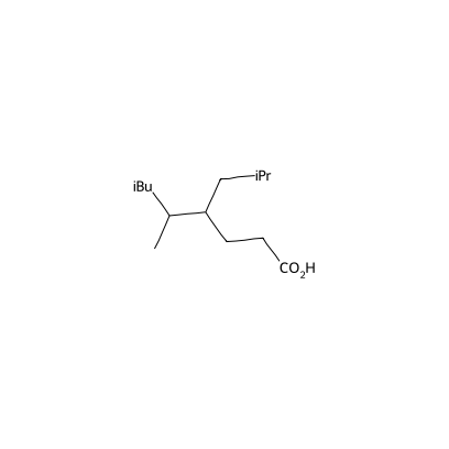 CCC(C)C(C)C(CCC(=O)O)CC(C)C